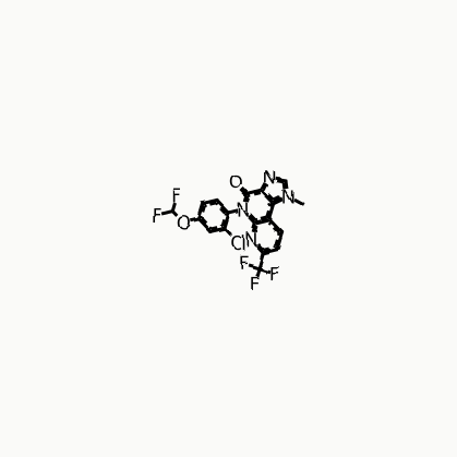 Cn1cnc2c(=O)n(-c3ccc(OC(F)F)cc3Cl)c3nc(C(F)(F)F)ccc3c21